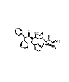 COc1cccc(CN(C(=O)C(c2ccccc2)c2ccccc2)C(CCCNC(=N)N)C(=O)O)c1